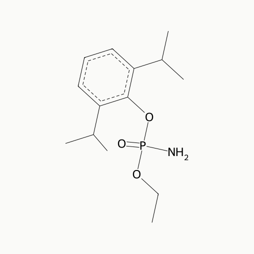 CCOP(N)(=O)Oc1c(C(C)C)cccc1C(C)C